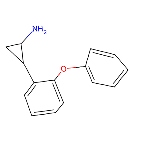 NC1CC1c1ccccc1Oc1ccccc1